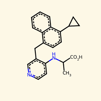 CC(Nc1ccncc1Cc1ccc(C2CC2)c2ccccc12)C(=O)O